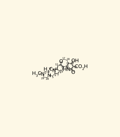 CN1CCN(Cc2cc3cc4c(cc3n2C)OCCc2c-4[nH]c(=O)c(C(=O)O)c2O)CC1